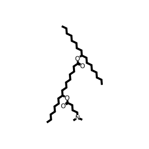 CCCCCCCCC(CCCCCCCC)OC(=O)CCCCCCCC(CCCCCCC)OC(=O)CCCN(C)C